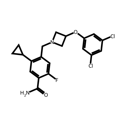 NC(=O)c1cc(C2CC2)c(CN2CC(Oc3cc(Cl)cc(Cl)c3)C2)cc1F